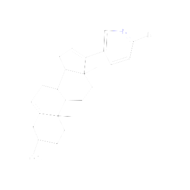 Bc1ccc(C2=CCC3C4CC=C5CC(OC(C)=O)CCC5(C)C4CCC23C)cn1